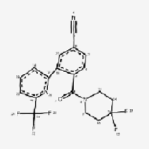 N#Cc1ccc(C(=O)N2CCC(F)(F)CC2)c(-c2cccc(C(F)(F)F)n2)c1